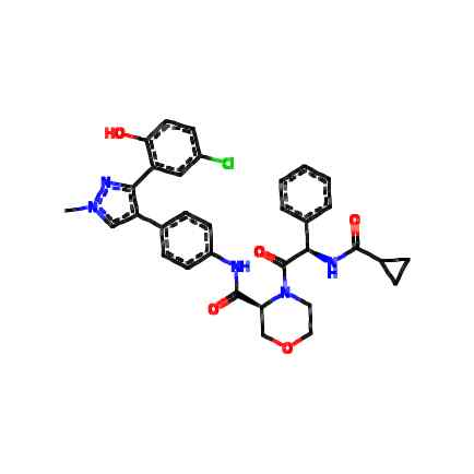 Cn1cc(-c2ccc(NC(=O)[C@@H]3COCCN3C(=O)[C@H](NC(=O)C3CC3)c3ccccc3)cc2)c(-c2cc(Cl)ccc2O)n1